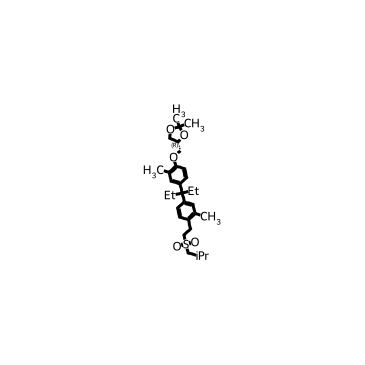 CCC(CC)(c1ccc(CCS(=O)(=O)CC(C)C)c(C)c1)c1ccc(OC[C@@H]2COC(C)(C)O2)c(C)c1